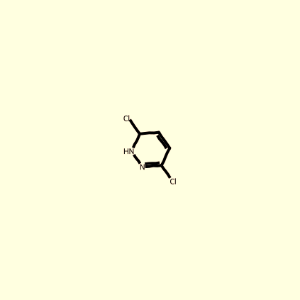 Cl[C]1C=CC(Cl)=NN1